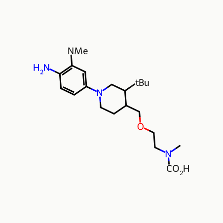 CNc1cc(N2CCC(COCCN(C)C(=O)O)C(C(C)(C)C)C2)ccc1N